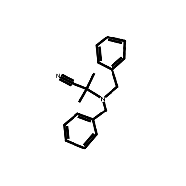 CC(C)(C#N)N(Cc1ccccc1)Cc1ccccc1